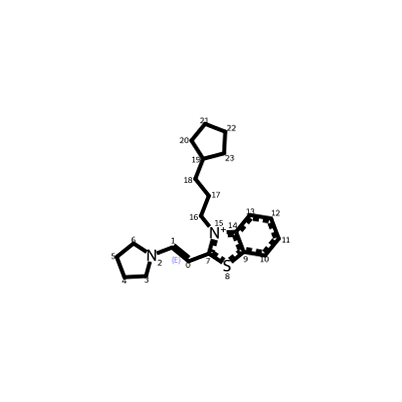 C(=C\N1CCCC1)/c1sc2ccccc2[n+]1CCCC1CCCC1